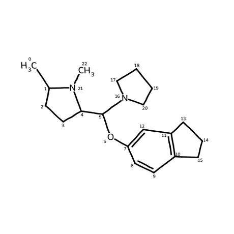 CC1CCC(C(Oc2ccc3c(c2)CCC3)N2CCCC2)N1C